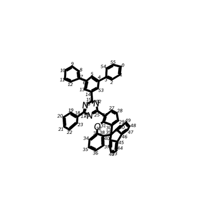 c1ccc(-c2cc(-c3ccccc3)cc(-c3nc(-c4ccccc4)nc(-c4cccc5c4Oc4ccccc4C54c5ccccc5-c5ccccc54)n3)c2)cc1